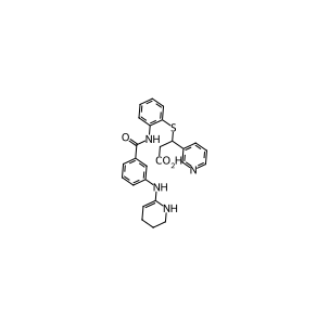 O=C(O)CC(Sc1ccccc1NC(=O)c1cccc(NC2=CCCCN2)c1)c1cccnc1